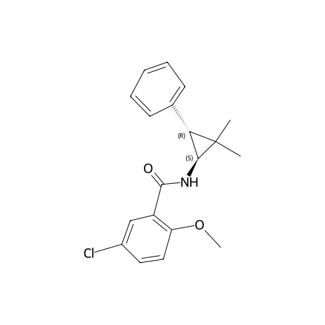 COc1ccc(Cl)cc1C(=O)N[C@H]1[C@H](c2ccccc2)C1(C)C